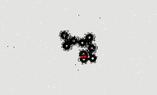 c1ccc(-c2ccccc2N(c2ccccc2)c2cccc(-n3c4ccccc4c4cc(-c5ccc6c(c5)c5ccccc5n6-c5ccccc5)ccc43)c2)cc1